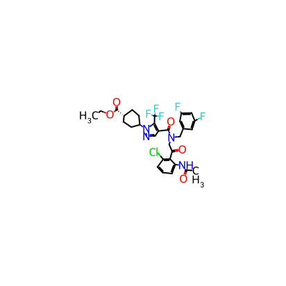 CCOC(=O)[C@H]1CC[C@H](n2ncc(C(=O)N(CC(=O)c3c(Cl)cccc3NC(C)=O)Cc3cc(F)cc(F)c3)c2C(F)(F)F)CC1